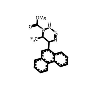 COC(=O)N1NN=NC(c2cc3ccccc3c3ccccc23)C1C(F)(F)F